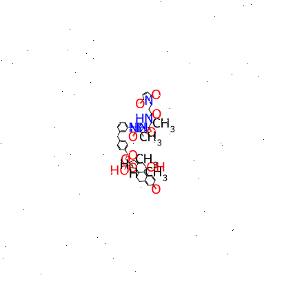 C[C@H](NC(=O)CCN1C(=O)C=CC1=O)C(=O)N[C@@H](C)C(=O)Nc1cccc(Cc2ccc([C@@H]3O[C@@H]4CC5[C@@H]6CCC7=CC(=O)C=C[C@]7(C)C6[C@@H](O)C[C@]5(C)[C@]4(C(=O)CO)O3)cc2)c1